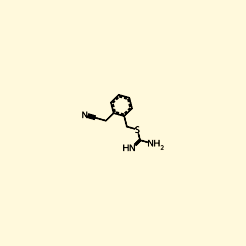 N#CCc1ccccc1CSC(=N)N